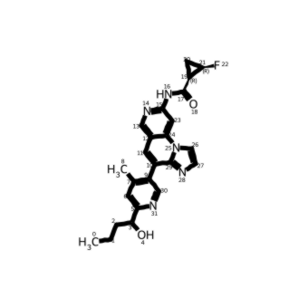 CCCC(O)c1cc(C)c(-c2cc3cnc(NC(=O)[C@H]4C[C@H]4F)cc3n3ccnc23)cn1